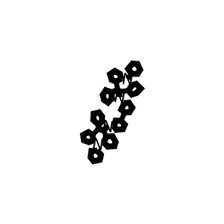 c1ccc(N2c3ccccc3-c3c(n(-c4cccc(-c5cccc(-n6c7c(c8ccccc86)-c6ccccc6N(c6ccccc6)c6ccccc6-7)c5)c4)c4ccccc34)-c3ccccc32)cc1